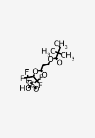 CCC(C)(C)C(=O)OCCC(=O)OC(C(F)(F)F)C(F)(F)S(=O)(=O)O